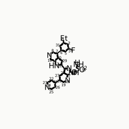 CCc1cc(F)cc(-c2cncc3[nH]c(-c4n[nH]c5ncc(-c6ccncc6)cc45)cc23)c1.N[SH](=O)=O